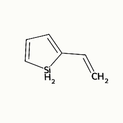 C=CC1=CC=C[SiH2]1